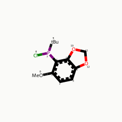 COc1ccc2c(c1P(Cl)C(C)(C)C)OCO2